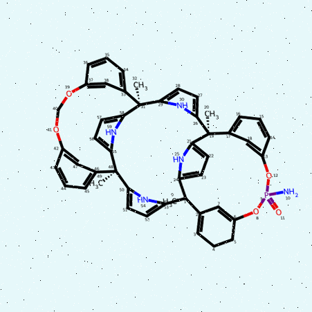 C[C@@]12C3=CCCC(=C3)OP(N)(=O)Oc3cccc(c3)[C@@](C)(c3ccc1[nH]3)c1ccc([nH]1)[C@]1(C)c3cccc(c3)OCOc3cccc(c3)[C@](C)(c3ccc2[nH]3)c2ccc1[nH]2